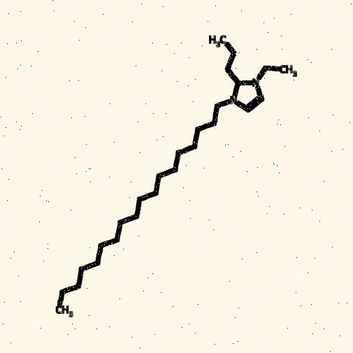 CCCCCCCCCCCCCCCCCCN1C=CN(CC)C1CCC